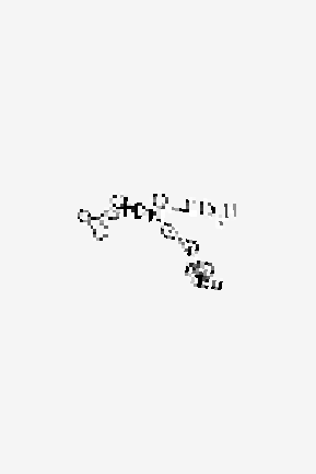 CC(C)(C)OC(=O)CCOCCOCCN(C(=O)CCCC(=O)O)C1CCN(C(=O)OCC2c3ccccc3-c3ccccc32)CC1